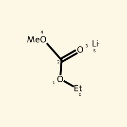 CCOC(=O)OC.[Li]